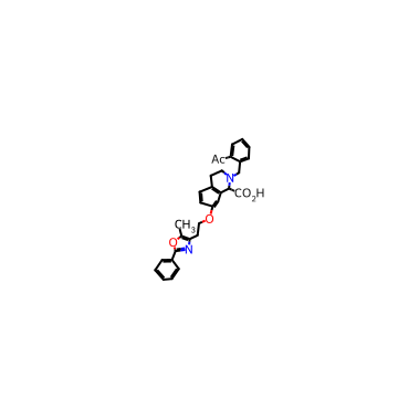 CC(=O)c1ccccc1CN1CCc2ccc(OCCc3nc(-c4ccccc4)oc3C)cc2C1C(=O)O